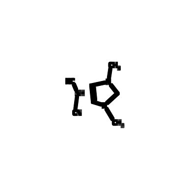 CN1C=CN(C)C1.N#CNC#N